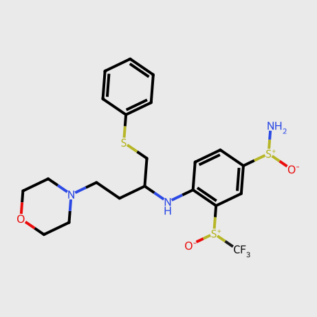 N[S+]([O-])c1ccc(NC(CCN2CCOCC2)CSc2ccccc2)c([S+]([O-])C(F)(F)F)c1